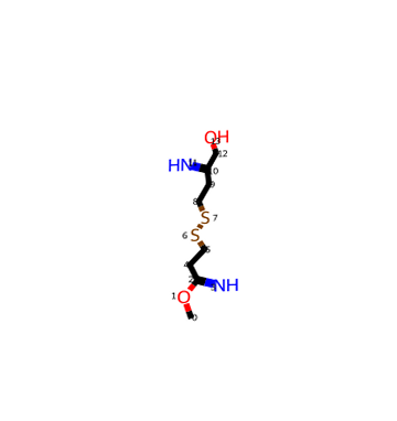 COC(=N)CCSSCCC(=N)CO